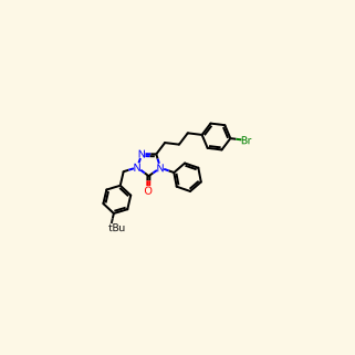 CC(C)(C)c1ccc(Cn2nc(CCCc3ccc(Br)cc3)n(-c3ccccc3)c2=O)cc1